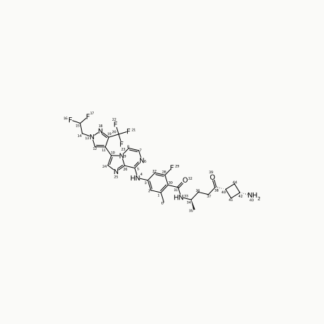 Cc1cc(Nc2nccn3c(-c4cn(CC(F)F)nc4C(F)(F)F)cnc23)cc(F)c1C(=O)N[C@H](C)CCC(=O)[C@H]1C[C@@H](N)C1